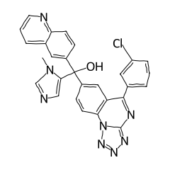 Cn1cncc1C(O)(c1ccc2ncccc2c1)c1ccc2c(c1)c(-c1cccc(Cl)c1)nc1nnnn12